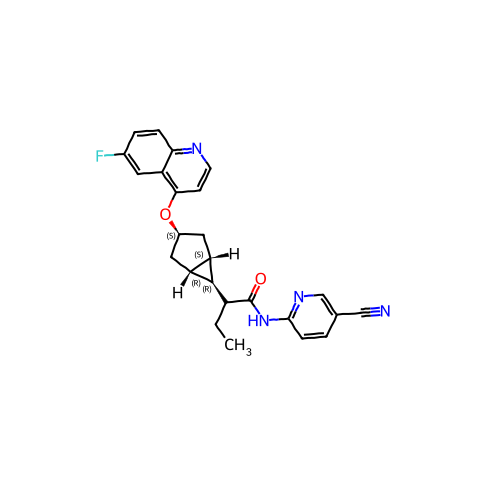 CCC(C(=O)Nc1ccc(C#N)cn1)[C@H]1[C@@H]2C[C@@H](Oc3ccnc4ccc(F)cc34)C[C@@H]21